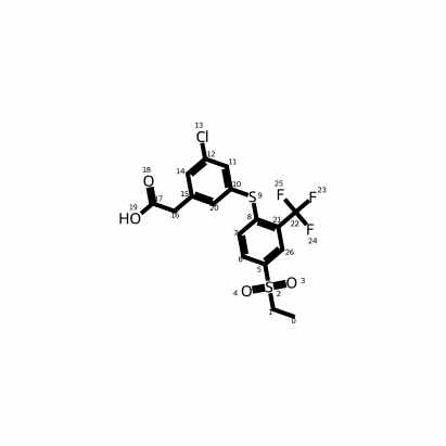 CCS(=O)(=O)c1ccc(Sc2cc(Cl)cc(CC(=O)O)c2)c(C(F)(F)F)c1